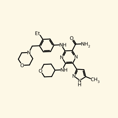 CCc1cc(Nc2nc(NC3CCOCC3)c(-c3cc(C)[nH]n3)nc2C(N)=O)ccc1CN1CCOCC1